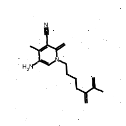 C=C(C)C(=C)CCCCN1C=C(N)C(C)=C(C#N)C1=C